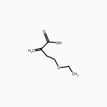 C=C(CCOCC)C(=O)O